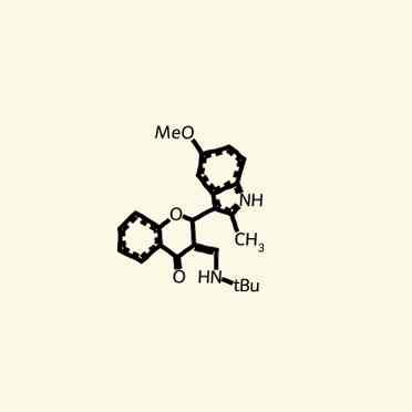 COc1ccc2[nH]c(C)c(C3Oc4ccccc4C(=O)/C3=C\NC(C)(C)C)c2c1